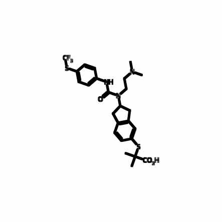 CN(C)CCN(C(=O)Nc1ccc(SC(F)(F)F)cc1)C1Cc2ccc(SC(C)(C)C(=O)O)cc2C1